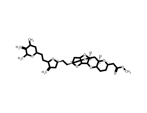 C=C1C(C)CC(CCC2O[C@@H](CC[C@@]34CC5O[C@@H]6C(OC7CCC(CC(=O)OC)O[C@@H]7C6O3)C5O4)CC2=C)OC1C